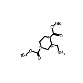 CC(C)(C)OC(=O)N1CCN(C(=O)OC(C)(C)C)[C@@H](CN)C1